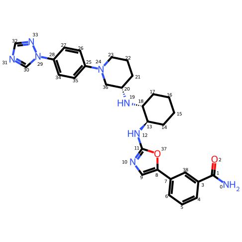 NC(=O)c1cccc(-c2cnc(N[C@@H]3CCCC[C@H]3N[C@H]3CCCN(c4ccc(-n5cncn5)cc4)C3)o2)c1